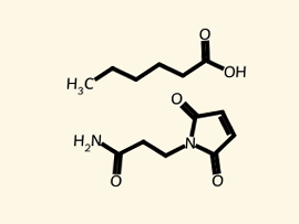 CCCCCC(=O)O.NC(=O)CCN1C(=O)C=CC1=O